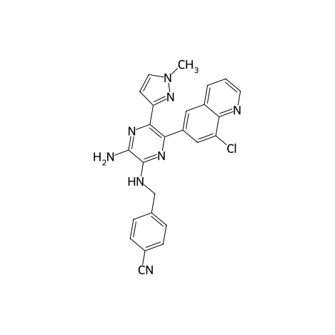 Cn1ccc(-c2nc(N)c(NCc3ccc(C#N)cc3)nc2-c2cc(Cl)c3ncccc3c2)n1